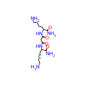 NCCCCC(NC(=O)CC(=O)NC(CCCCN)C(N)=O)C(N)=O